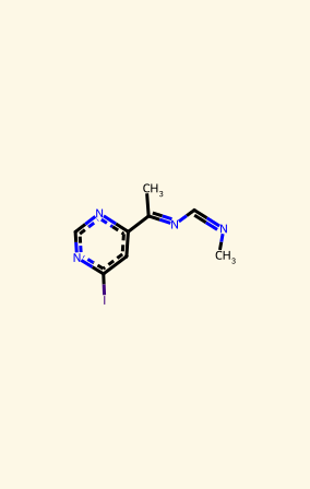 C/N=C\N=C(/C)c1cc(I)ncn1